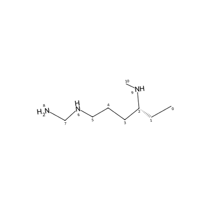 CC[C@H](CCCNCN)NC